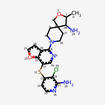 CC1OCC2(CCN(c3ncc(Sc4ccnc(N)c4Cl)c4occc34)CC2)C1N